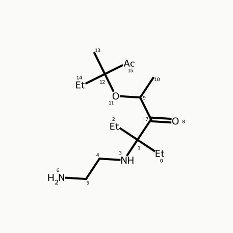 CCC(CC)(NCCN)C(=O)C(C)OC(C)(CC)C(C)=O